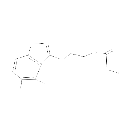 Cc1c(F)ccc2onc(SCCNC(=O)OC(C)(C)C)c12